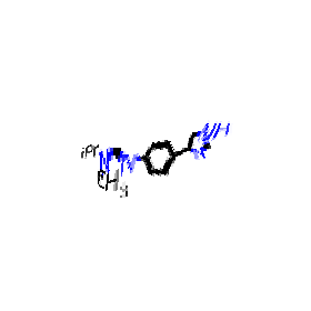 CC(C)N(C)C=Nc1ccc(-c2c[nH]cn2)cc1